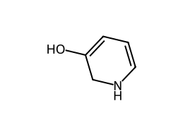 OC1=CC=CNC1